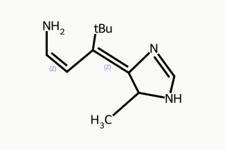 CC1NC=N/C1=C(/C=C\N)C(C)(C)C